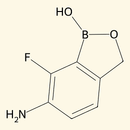 Nc1ccc2c(c1F)B(O)OC2